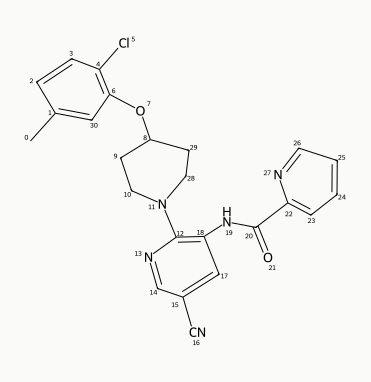 Cc1ccc(Cl)c(OC2CCN(c3ncc(C#N)cc3NC(=O)c3ccccn3)CC2)c1